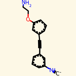 [C-]#[N+]c1cccc(C#Cc2cccc(OCCN)c2)c1